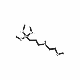 COCCNCCC[Si](OC)(OC)OC